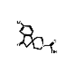 O=C1CC2(CCN(C(=O)O)CC2)c2ccc(Br)cc21